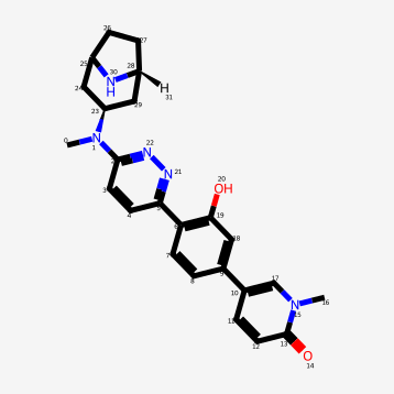 CN(c1ccc(-c2ccc(-c3ccc(=O)n(C)c3)cc2O)nn1)[C@H]1CC2CC[C@H](C1)N2